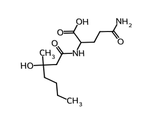 CCCCC(C)(O)CC(=O)NC(CCC(N)=O)C(=O)O